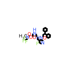 CN(CC(F)(F)F)C(=O)O[C@H]1CNC[C@@H](CCc2c(F)cncc2NC(=O)CC(c2ccccc2)c2ccccc2)O1